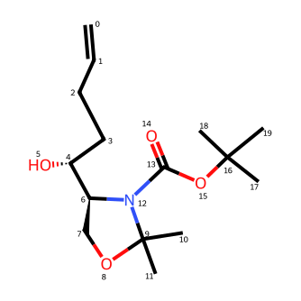 C=CCC[C@@H](O)[C@@H]1COC(C)(C)N1C(=O)OC(C)(C)C